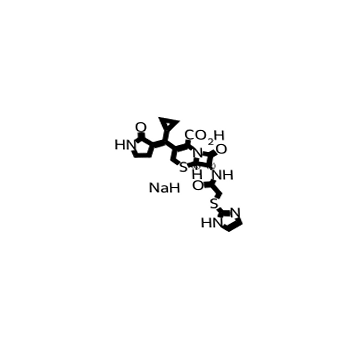 O=C(CSc1ncc[nH]1)N[C@@H]1C(=O)N2C(C(=O)O)=C(C(=C3CCNC3=O)C3CC3)CS[C@H]12.[NaH]